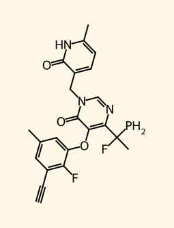 C#Cc1cc(C)cc(Oc2c(C(C)(F)P)ncn(Cc3ccc(C)[nH]c3=O)c2=O)c1F